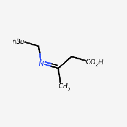 CCCCCN=C(C)CC(=O)O